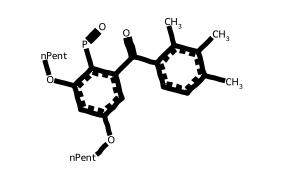 CCCCCOc1cc(OCCCCC)c(P=O)c(C(=O)c2ccc(C)c(C)c2C)c1